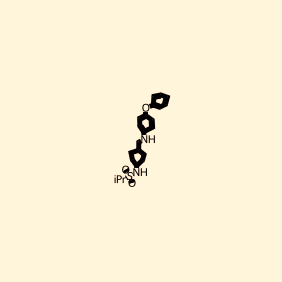 CC(C)S(=O)(=O)NC1CCC(CNc2ccc(Oc3ccccc3)cc2)CC1